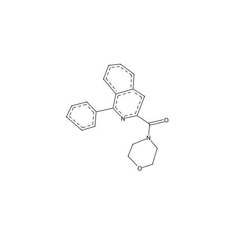 O=C(c1cc2ccccc2c(-c2ccccc2)n1)N1CCOCC1